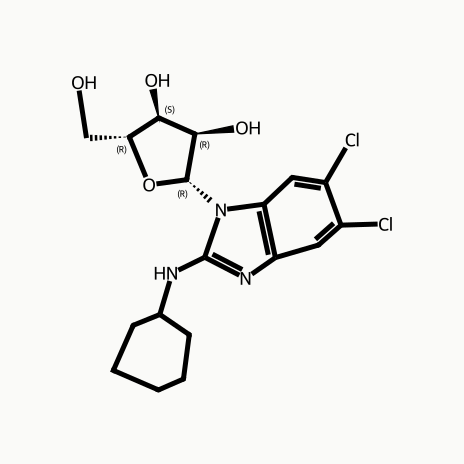 OC[C@H]1O[C@@H](n2c(NC3CCCCC3)nc3cc(Cl)c(Cl)cc32)[C@H](O)[C@@H]1O